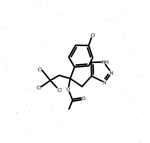 CC(=O)OC(Cc1c[nH]nn1)(CC(Cl)(Cl)Cl)c1ccc(Cl)cc1